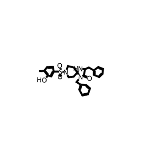 Cc1ccc(S(=O)(=O)N2CCC3(CC2)NC(Cc2ccccc2)C(=O)N3Cc2ccccc2)cc1O